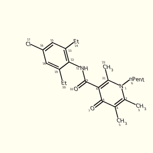 CCCCCn1c(C)c(C)c(=O)c(C(=O)Nc2c(CC)cc(Cl)cc2CC)c1C